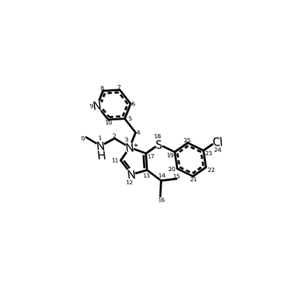 CNC[N+]1(Cc2cccnc2)C=NC(C(C)C)=C1Sc1cccc(Cl)c1